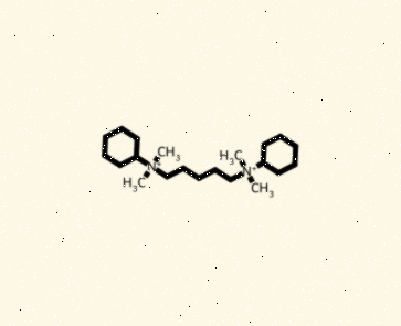 C[N+](C)(CCCCC[N+](C)(C)C1CCCCC1)C1CCCCC1